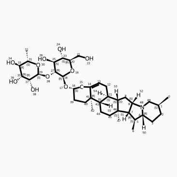 C[C@H]1CC[C@@H]2[C@@H](C)[C@H]3[C@H](C[C@H]4[C@@H]5CC=C6C[C@@H](O[C@@H]7O[C@H](CO)[C@@H](O)[C@H](O)[C@H]7O[C@@H]7O[C@@H](C)[C@H](O)[C@@H](O)[C@H]7O)CC[C@]6(C)[C@H]5CC[C@]34C)N2C1